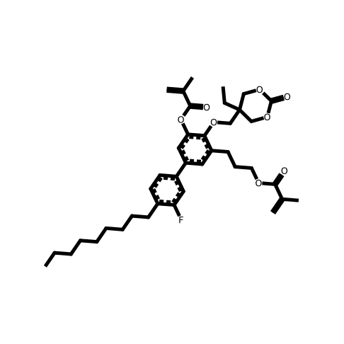 C=C(C)C(=O)OCCCc1cc(-c2ccc(CCCCCCCCC)c(F)c2)cc(OC(=O)C(=C)C)c1OCC1(CC)COC(=O)OC1